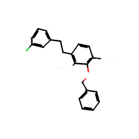 COc1c(CCc2cccc(Cl)c2)ccc(C(=O)O)c1OCc1ccccc1